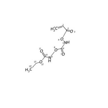 C=CC(=O)ONC(=O)ONC(=O)OCC